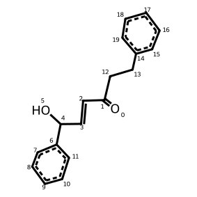 O=C(C=CC(O)c1ccccc1)CCc1ccccc1